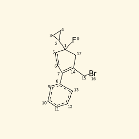 FC1(C2CC2)C=CC(c2ccccc2)=C(CBr)C1